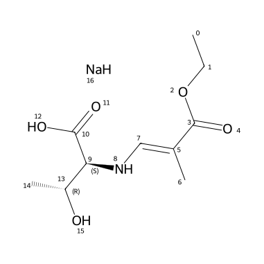 CCOC(=O)C(C)=CN[C@H](C(=O)O)[C@@H](C)O.[NaH]